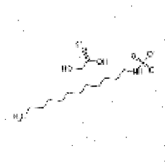 CCCCCCCCCCCCNS(=O)(=O)[O-].O=C(O)CO.[K+]